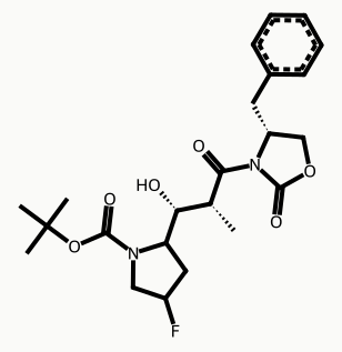 C[C@@H](C(=O)N1C(=O)OC[C@H]1Cc1ccccc1)[C@@H](O)C1CC(F)CN1C(=O)OC(C)(C)C